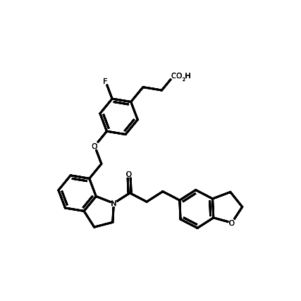 O=C(O)CCc1ccc(OCc2cccc3c2N(C(=O)CCc2ccc4c(c2)CCO4)CC3)cc1F